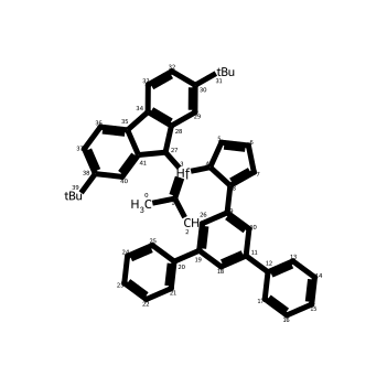 C[C](C)=[Hf]([CH]1C=CC=C1c1cc(-c2ccccc2)cc(-c2ccccc2)c1)[CH]1c2cc(C(C)(C)C)ccc2-c2ccc(C(C)(C)C)cc21